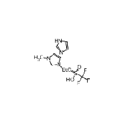 CCN1C=CN(C)C1.O=S(=O)(O)C(F)(F)F.c1c[nH]cn1